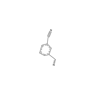 [N]=Cc1cccc(C#N)c1